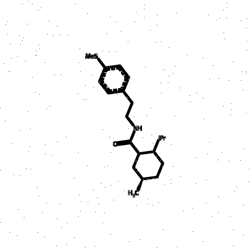 CSc1ccc(CCNC(=O)C2C[C@H](C)CCC2C(C)C)cc1